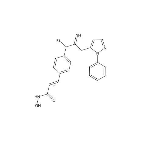 CCC(C(=N)Cc1ccnn1-c1ccccc1)c1ccc(/C=C/C(=O)NO)cc1